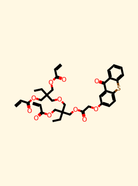 C=CC(=O)OCC(CC)(COCC(CC)(COC(=O)C=C)COC(=O)COc1ccc2sc3ccccc3c(=O)c2c1)COC(=O)C=C